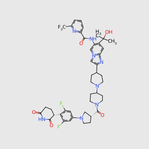 CC(C)(O)c1cc2nc(C3CCN(C4CCN(C(=O)[C@@H]5CCN(c6cc(F)c([C@H]7CCC(=O)NC7=O)c(F)c6)C5)CC4)CC3)cn2cc1NC(=O)c1cccc(C(F)(F)F)n1